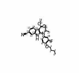 CCCCOc1ccc(N(c2[nH]c3cc(C#N)ccc3c2C(=O)OC)C(C)C)cc1F